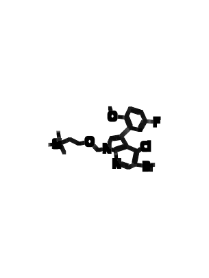 COc1ccc(F)cc1-c1cn(COCC[Si](C)(C)C)c2ncc(Br)c(Cl)c12